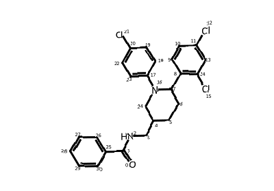 O=C(NCC1CCC(c2ccc(Cl)cc2Cl)N(c2ccc(Cl)cc2)C1)c1ccccc1